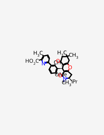 COc1ccc(-c2ccc(C)c(C(=O)O)n2)c(C)c1[C@H]1C2=C(CC(C)(C)CC2=O)OC2=C1C(=O)N(C)[C@H](C(C)C)C2